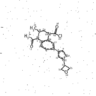 CC(=O)N1c2ccc(-c3cnn(C4COC4)c3)cc2N(C(=O)Cl)CC1C